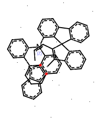 C/C=C\C1=C(C)c2ccccc2C12c1ccccc1-c1cccc(N(c3ccccc3C3=CCCC=C3)c3cccc4c3sc3ccccc34)c12